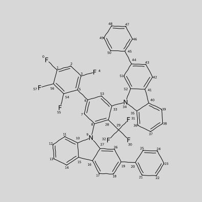 Fc1cc(F)c(-c2cc(-n3c4ccccc4c4ccc(-c5ccccc5)cc43)c(C(F)(F)F)c(-n3c4ccccc4c4ccc(-c5ccccc5)cc43)c2)c(F)c1F